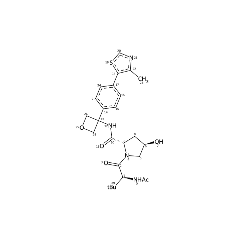 CC(=O)N[C@H](C(=O)N1C[C@H](O)C[C@H]1C(=O)NC1(c2ccc(-c3scnc3C)cc2)COC1)C(C)(C)C